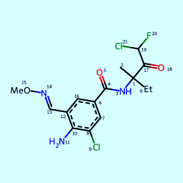 CCC(C)(NC(=O)c1cc(Cl)c(N)c(/C=N/OC)c1)C(=O)C(F)Cl